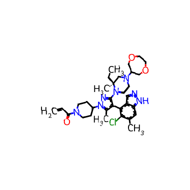 C=CC(=O)N1CCC(n2nc(N3CCN(C4COCCOC4)C[C@]3(C)CC)c(-c3c(Cl)c(C)cc4[nH]ncc34)c2C)CC1